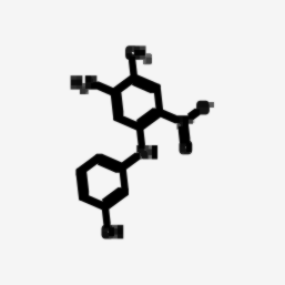 Cc1cc([N+](=O)[O-])c(Nc2cccc(O)c2)cc1N